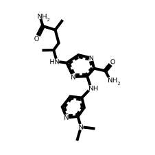 CC(CC(C)C(N)=O)Nc1cnc(C(N)=O)c(Nc2ccnc(N(C)C)c2)n1